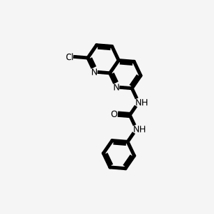 O=C(Nc1ccccc1)Nc1ccc2ccc(Cl)nc2n1